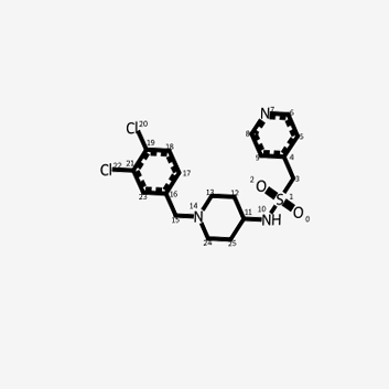 O=S(=O)(Cc1ccncc1)NC1CCN(Cc2ccc(Cl)c(Cl)c2)CC1